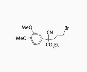 CCOC(=O)C(C#N)(CCCBr)c1ccc(OC)c(OC)c1